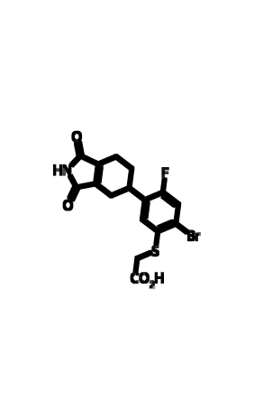 O=C(O)CSc1cc(C2CCC3=C(C2)C(=O)NC3=O)c(F)cc1Br